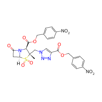 C[C@]1(Cn2cc(C(=O)OCc3ccc([N+](=O)[O-])cc3)nn2)[C@H](C(=O)OCc2ccc([N+](=O)[O-])cc2)N2C(=O)C[C@@H]2S1(=O)=O